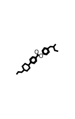 CCCC1CCC(c2ccc(C(=O)Oc3ccc(CC(C)CC)cc3)cc2)CC1